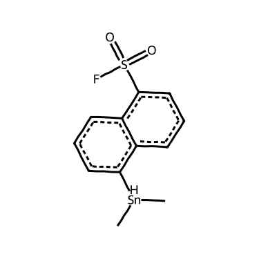 [CH3][SnH]([CH3])[c]1cccc2c(S(=O)(=O)F)cccc12